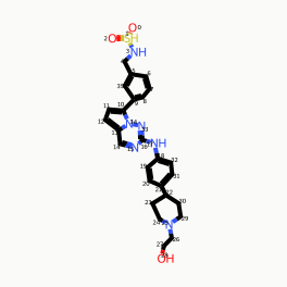 O=[SH](=O)NCc1cccc(-c2ccc3cnc(Nc4ccc(C5CCN(CCO)CC5)cc4)nn23)c1